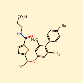 CCCC(Oc1cc(C)c(-c2ccc(C(C)(C)C)cc2)c(C)c1)c1ccc(C(=O)NCCC(=O)O)s1